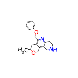 C[C@H]1Cc2c(COc3ccccc3)nc3c(c2CO1)CNCC3